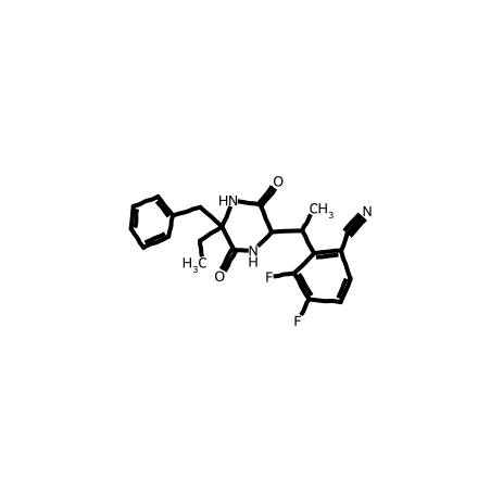 CCC1(Cc2ccccc2)NC(=O)C(C(C)c2c(C#N)ccc(F)c2F)NC1=O